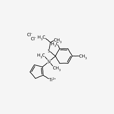 CC1=CCC(SC(C)C)([Si](C)(C)C2=[C]([Ti+2])CC=C2)C(C)=C1.[Cl-].[Cl-]